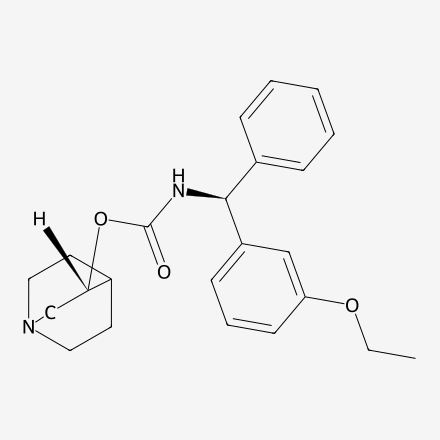 CCOc1cccc([C@@H](NC(=O)O[C@H]2CN3CCC2CC3)c2ccccc2)c1